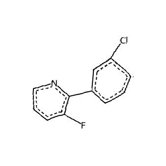 Fc1cccnc1-c1cc[c]c(Cl)c1